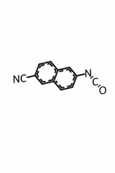 N#Cc1ccc2cc(N=C=O)ccc2c1